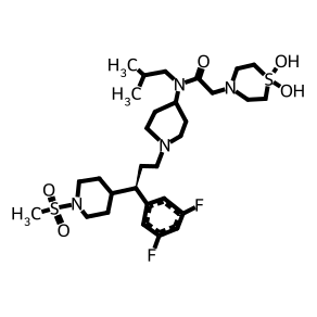 CC(C)CN(C(=O)CN1CCS(O)(O)CC1)C1CCN(CC[C@@H](c2cc(F)cc(F)c2)C2CCN(S(C)(=O)=O)CC2)CC1